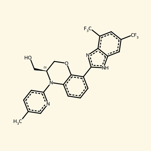 Cc1ccc(N2c3cccc(-c4nc5c(C(F)(F)F)cc(C(F)(F)F)cc5[nH]4)c3OC[C@@H]2CO)nc1